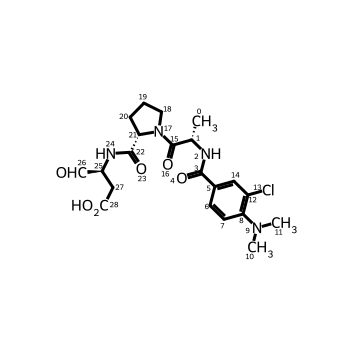 C[C@H](NC(=O)c1ccc(N(C)C)c(Cl)c1)C(=O)N1CCC[C@H]1C(=O)N[C@H](C=O)CC(=O)O